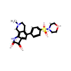 CN1CCc2c(-c3ccc(S(=O)(=O)N4CCOCC4)cc3)cc3c(c2C1)NC(=O)C3=O